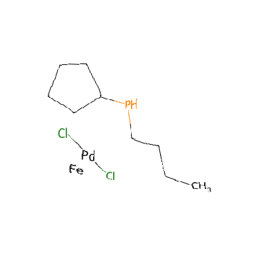 CCCCPC1CCCC1.[Cl][Pd][Cl].[Fe]